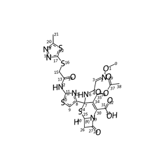 CON=CC(=O)NC1(c2csc(NC(=O)CSc3nnc(C)s3)n2)S[C@@H]2CC(=O)N2C(C(=O)O)=C1COC(C)=O